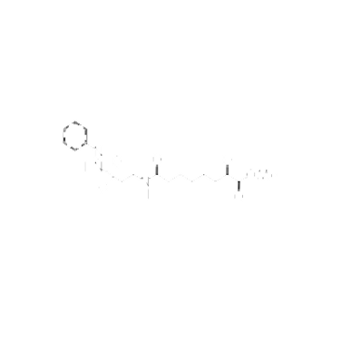 COC(=O)C(=O)CCCCCC(=O)NCCS(=O)(=O)NNc1ccccc1